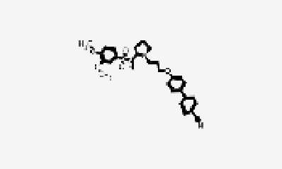 COc1ccc(S(=O)(=O)NC2CCCN2CCCOc2ccc(-c3ccc(C#N)cc3)cc2)cc1OC